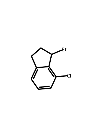 CCC1CCc2cccc(Cl)c21